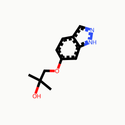 CC(C)(O)COc1ccc2cn[nH]c2c1